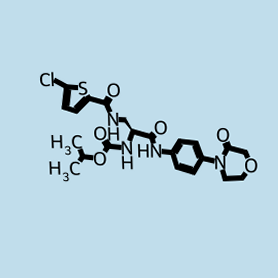 CC(C)OC(=O)N[C@@H](CNC(=O)c1ccc(Cl)s1)C(=O)Nc1ccc(N2CCOCC2=O)cc1